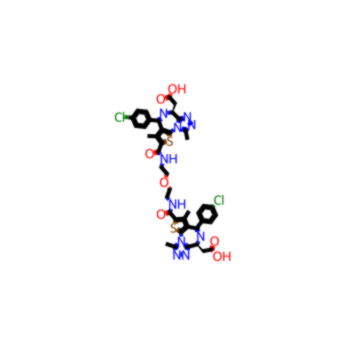 Cc1c(C(=O)NCCOCCNC(=O)c2sc3c(c2C)C(c2ccc(Cl)cc2)=N[C@@H](CC(=O)O)c2nnc(C)n2-3)sc2c1C(c1ccc(Cl)cc1)=N[C@@H](CC(=O)O)c1nnc(C)n1-2